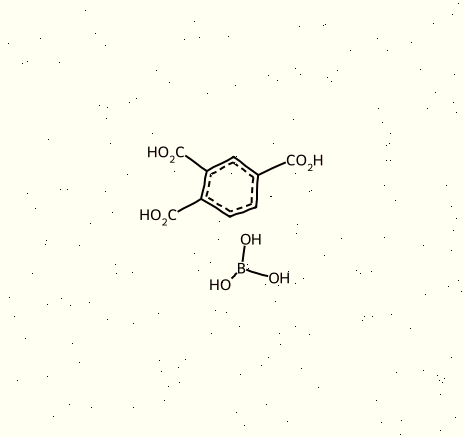 O=C(O)c1ccc(C(=O)O)c(C(=O)O)c1.OB(O)O